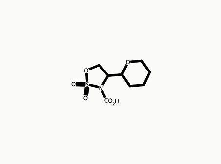 O=C(O)N1C(C2CCCCO2)COS1(=O)=O